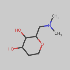 CN(C)CC1OCCC(O)C1O